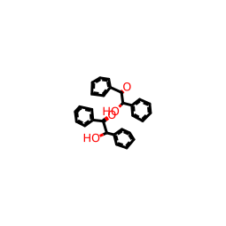 O=C(c1ccccc1)C(O)c1ccccc1.O=C(c1ccccc1)C(O)c1ccccc1